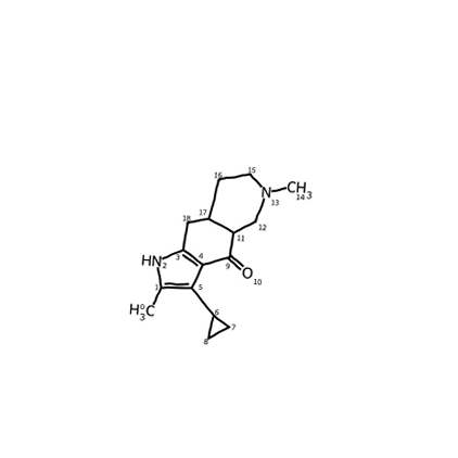 Cc1[nH]c2c(c1C1CC1)C(=O)C1CN(C)CCC1C2